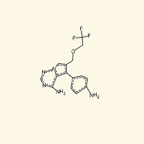 Nc1ccc(-c2c(COCC(F)(F)F)cn3ncnc(N)c23)cc1